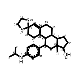 CC(C)Nc1ccc(C2CC3(C)C(O)CCC3C3CCC4=CC5(CCC4C23)SCCS5)cc1